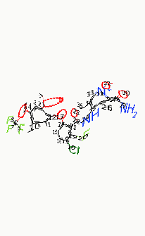 COc1cc(OC(F)(F)F)ccc1Oc1ccc(Cl)c(F)c1C(=O)Nc1cc(C(N)=O)[n+]([O-])cc1C